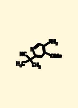 COc1cc(C(C)(C)C#N)ncc1N